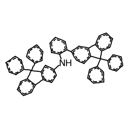 c1ccc(C2(c3ccccc3)c3ccccc3-c3cc(-c4ccccc4Nc4ccc5c(c4)C(c4ccccc4)(c4ccccc4)c4ccccc4-5)ccc32)cc1